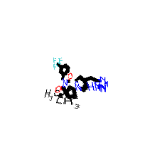 CC(C)[C@]1(C(=O)N2COc3ccc(C(F)(F)F)cc3C2)CC[C@@H](N2CCC(Cc3nnn[nH]3)CC2)C1